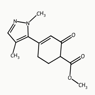 COC(=O)C1CCC(c2c(C)cnn2C)=CC1=O